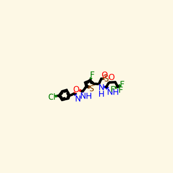 N=C1NC(c2sc(C3NN=C(c4ccc(Cl)cc4)O3)cc2F)CS(=O)(=O)C1CC(F)(F)F